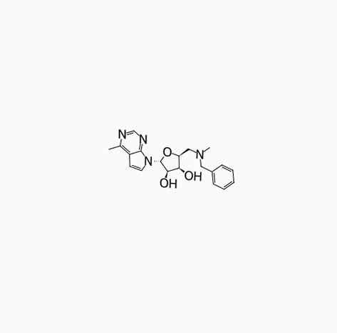 Cc1ncnc2c1ccn2[C@@H]1O[C@@H](CN(C)Cc2ccccc2)[C@@H](O)[C@H]1O